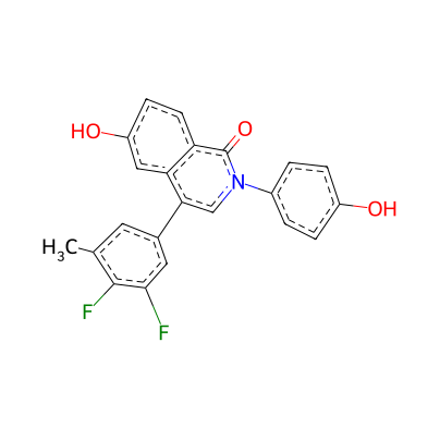 Cc1cc(-c2cn(-c3ccc(O)cc3)c(=O)c3ccc(O)cc23)cc(F)c1F